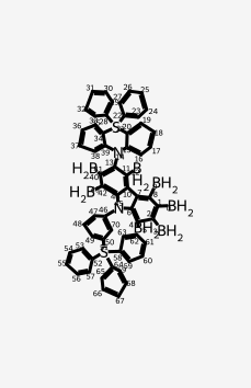 Bc1c(B)c(B)c2c(c1B)c1c(B)c(N3c4ccccc4S(c4ccccc4)(c4ccccc4)c4ccccc43)c(B)c(B)c1n2-c1cccc(S(c2ccccc2)(c2ccccc2)c2ccccc2)c1